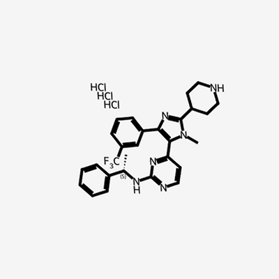 C[C@H](Nc1nccc(-c2c(-c3cccc(C(F)(F)F)c3)nc(C3CCNCC3)n2C)n1)c1ccccc1.Cl.Cl.Cl